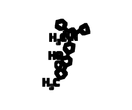 CC1C=c2oc3c(O)c(-c4ccc(C5N=C(c6ccccc6)C=C(c6ccccc6)N5C)cc4)ccc3c2=CC1